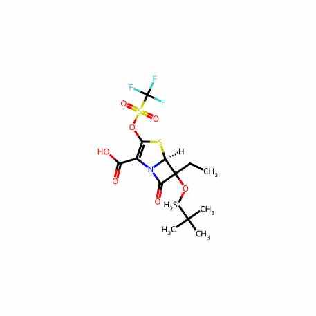 CCC1(O[SiH2]C(C)(C)C)C(=O)N2C(C(=O)O)=C(OS(=O)(=O)C(F)(F)F)S[C@H]21